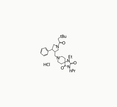 CCCN1C(=O)N(CC)C2(CCN(CC3CN(C(=O)CC(C)(C)C)CC3c3ccccc3)CC2)C1=O.Cl